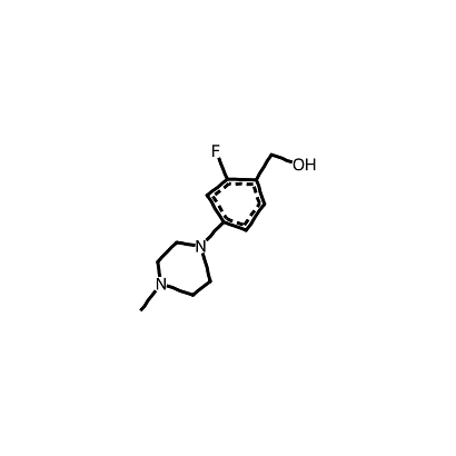 CN1CCN(c2ccc(CO)c(F)c2)CC1